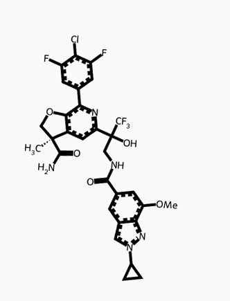 COc1cc(C(=O)NCC(O)(c2cc3c(c(-c4cc(F)c(Cl)c(F)c4)n2)OC[C@]3(C)C(N)=O)C(F)(F)F)cc2cn(C3CC3)nc12